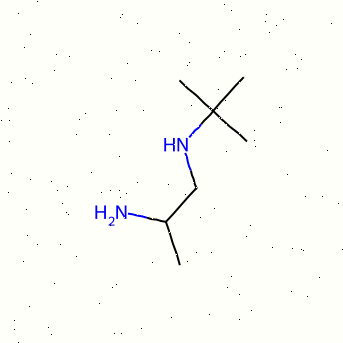 CC(N)CNC(C)(C)C